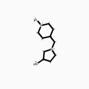 CC(C)N1CCC(CN2CCC(O)C2)CC1